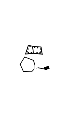 C#CN1CCCCC1.c1cc2ccc1-2